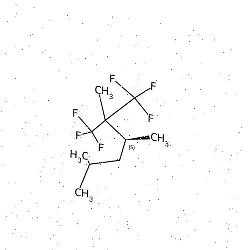 CC(C)C[C@H](C)C(C)(C(F)(F)F)C(F)(F)F